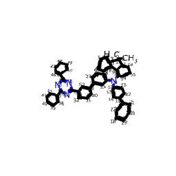 CC1(C)c2ccccc2-c2c(N(c3ccc(-c4ccccc4)cc3)c3cccc(-c4cccc(-c5nc(-c6ccccc6)nc(-c6ccccc6)n5)c4)c3)cccc21